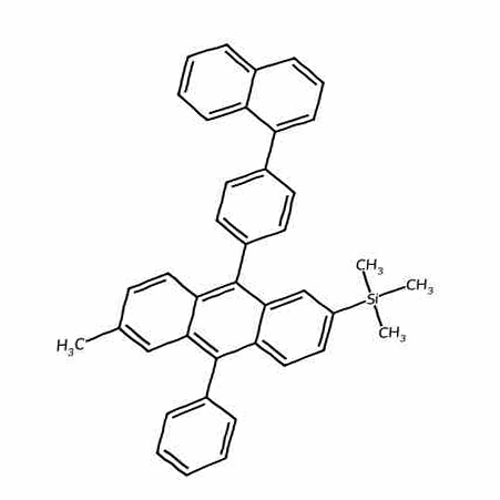 Cc1ccc2c(-c3ccc(-c4cccc5ccccc45)cc3)c3cc([Si](C)(C)C)ccc3c(-c3ccccc3)c2c1